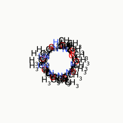 CC[C@H](C)[C@H]1C(=O)O[C@H](C(C)C)C(=O)N(C)[C@@H](C)C(=O)N(C)[C@@H](CC(C)C)C(=O)N(C)[C@@H](C(C)C)C(=O)N2CCC[C@H]2C(=O)N[C@@H](C(C)C)C(=O)N[C@H](CC)[C@H](C)C(=O)N[C@@H](CC(C)C)C(=O)N1C